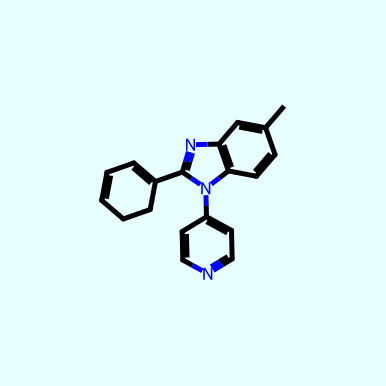 Cc1ccc2c(c1)nc(C1=CC=CCC1)n2-c1ccncc1